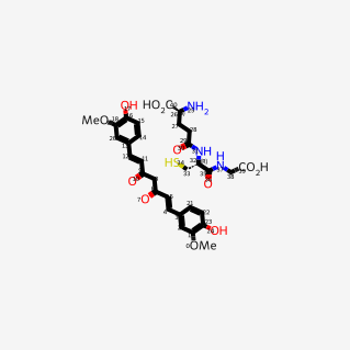 COc1cc(C=CC(=O)CC(=O)C=Cc2ccc(O)c(OC)c2)ccc1O.N[C@@H](CCC(=O)N[C@@H](CS)C(=O)NCC(=O)O)C(=O)O